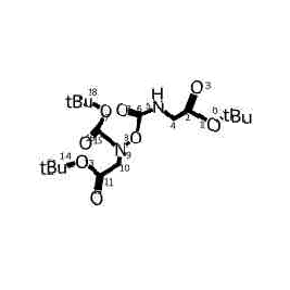 CC(C)(C)OC(=O)CNC(=O)ON(CC(=O)OC(C)(C)C)C(=O)OC(C)(C)C